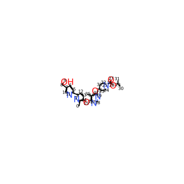 Cc1nc(-c2ccc(CO)cn2)ccc1Oc1ncnc(OC2CCN(C(=O)OC(C)C)CC2)c1C